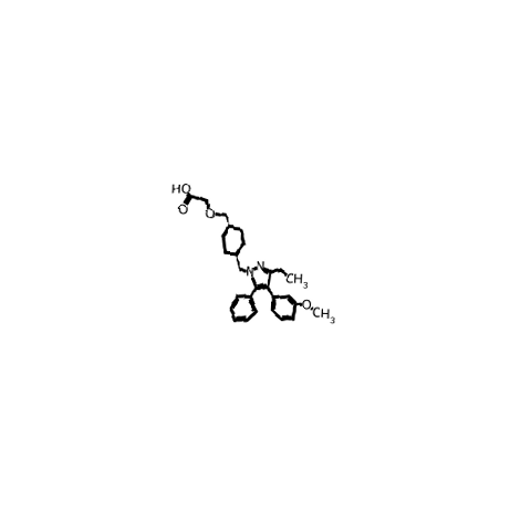 CCc1nn(C[C@H]2CC[C@@H](COCC(=O)O)CC2)c(-c2ccccc2)c1-c1cccc(OC)c1